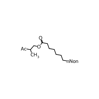 CCCCCCCCCCCCCCCC(=O)OCC(C)C(C)=O